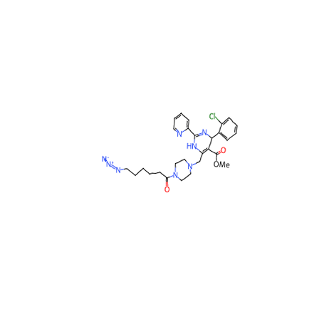 COC(=O)C1=C(CN2CCN(C(=O)CCCCCN=[N+]=[N-])CC2)NC(c2ccccn2)=NC1c1ccccc1Cl